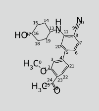 COc1cc(-c2ccc(C#N)c(NC3CCC(O)CC3)c2)ccc1C(C)=O